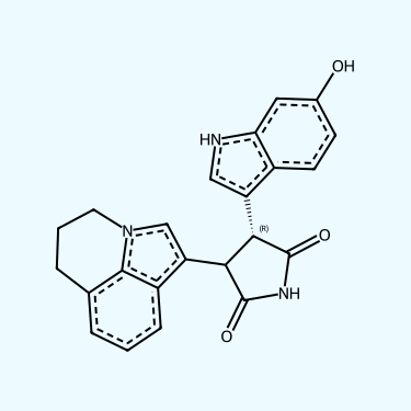 O=C1NC(=O)[C@@H](c2c[nH]c3cc(O)ccc23)C1c1cn2c3c(cccc13)CCC2